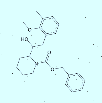 COc1c(C)cccc1CC(O)C1CCCCN1C(=O)OCc1ccccc1